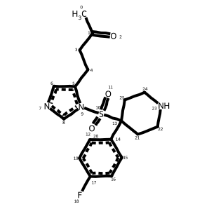 CC(=O)CCc1cncn1S(=O)(=O)C1(c2ccc(F)cc2)CCNCC1